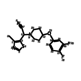 Cc1ncsc1C(C#N)N1CCC(Oc2ccc(F)c(F)c2)CC1